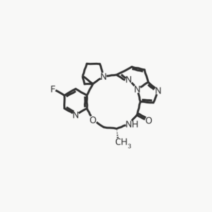 C[C@@H]1COc2ncc(F)cc2C23CC2CCN3c2ccc3ncc(n3n2)C(=O)N1